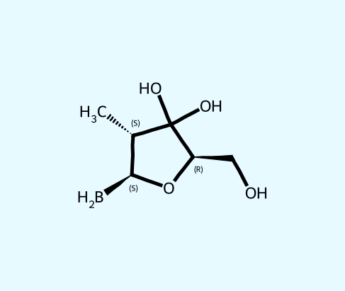 B[C@@H]1O[C@H](CO)C(O)(O)[C@H]1C